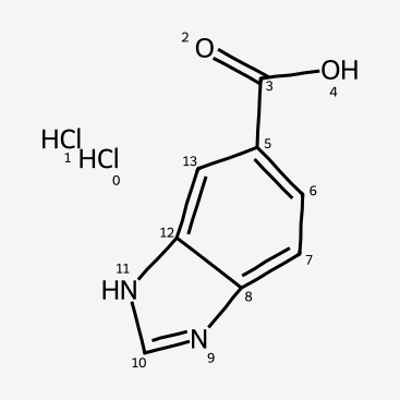 Cl.Cl.O=C(O)c1ccc2nc[nH]c2c1